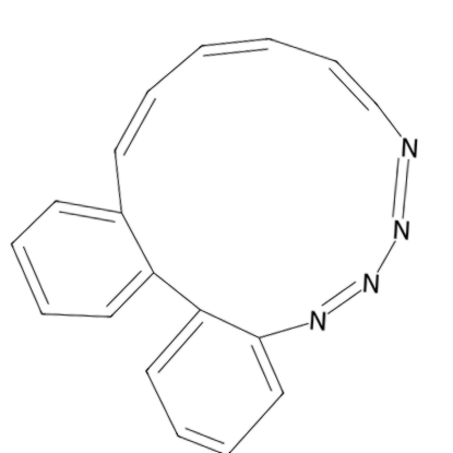 c1cccc2ccccc2c2ccccc2nnnncc1